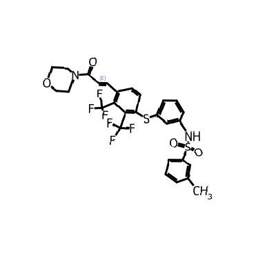 Cc1cccc(S(=O)(=O)Nc2cccc(Sc3ccc(/C=C/C(=O)N4CCOCC4)c(C(F)(F)F)c3C(F)(F)F)c2)c1